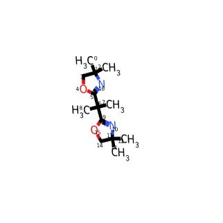 CC1(C)COC(C(C)(C)C2=NC(C)(C)CO2)=N1